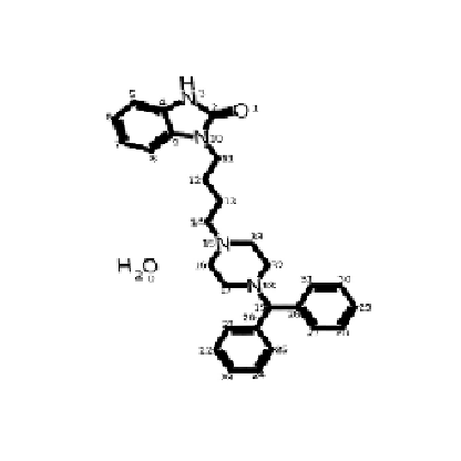 O.O=c1[nH]c2ccccc2n1CCCCN1CCN(C(c2ccccc2)c2ccccc2)CC1